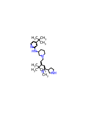 C=N/C(=C\C(=C/CN1CCCC(Nc2cc(C(C)(C)C)ccn2)C1)C(C)(C)C)C1CCNC1